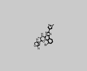 C[C@@H](Nc1nc2c(Br)cccc2c2nc(-c3cnn(C)c3)nn12)C(=O)N1C[C@H]2C[C@@H]1CO2